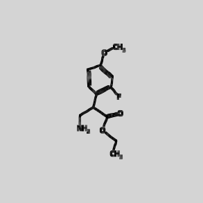 CCOC(=O)C(CN)c1ccc(OC)cc1F